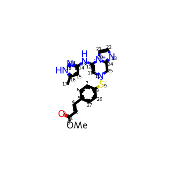 COC(=O)C=Cc1ccc(SN2C=C(Nc3cc(C)[nH]n3)[N+]3C=CN=C3C2)cc1